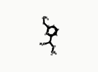 CCc1cccc(C(C)SC)n1